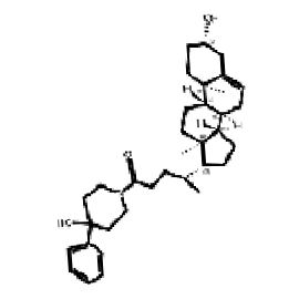 CC(CCC(=O)N1CCC(O)(c2ccccc2)CC1)[C@H]1CC[C@H]2[C@@H]3CC=C4C[C@@H](O)CC[C@]4(C)[C@H]3CC[C@]12C